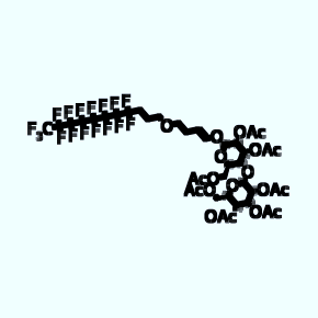 CC(=O)OC[C@H]1O[C@@H](O[C@H]2[C@H](OC(C)=O)[C@@H](OC(C)=O)[C@H](OC=CCCOCCCC(F)(F)C(F)(F)C(F)(F)C(F)(F)C(F)(F)C(F)(F)C(F)(F)C(F)(F)F)O[C@@H]2COC(C)=O)[C@H](OC(C)=O)[C@@H](OC(C)=O)[C@H]1OC(C)=O